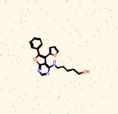 OCCCCCNc1ncnc2oc(-c3ccccc3)c(-c3ccco3)c12